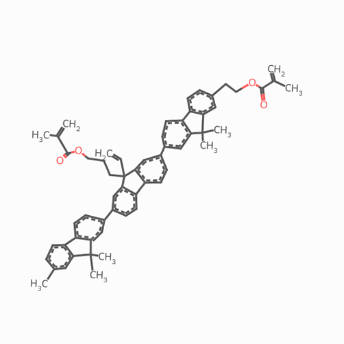 C=CC1(CCCOC(=O)C(=C)C)c2cc(-c3ccc4c(c3)C(C)(C)c3cc(C)ccc3-4)ccc2-c2ccc(-c3ccc4c(c3)C(C)(C)c3cc(CCOC(=O)C(=C)C)ccc3-4)cc21